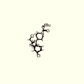 CC(C)(C)OC(=O)N1CCC(n2c(CCl)nc3cc(Cl)ccc32)CC1